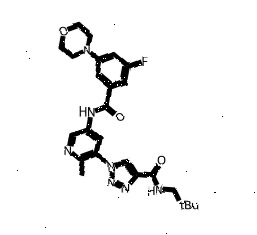 Cc1ncc(NC(=O)c2cc(F)cc(N3CCOCC3)c2)cc1-n1cc(C(=O)NCC(C)(C)C)nn1